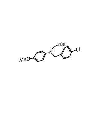 COc1ccc(N(Cc2ccc(Cl)cc2)CC(C)(C)C)cc1